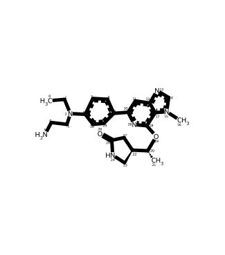 CCN(CCN)c1ccc(-c2cc3ncn(C)c3c(O[C@H](C)[C@H]3CNC(=O)C3)n2)cc1